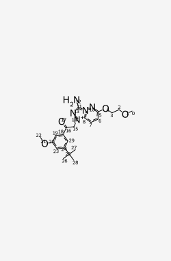 COCCOc1ccc2n(n1)c(N)n[n+]2CC(=O)c1cc(OC)cc(C(C)(C)C)c1